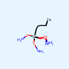 N#CCC[Si](ON)(ON)ON